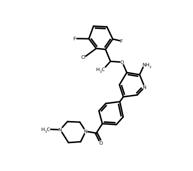 CC(Oc1cc(-c2ccc(C(=O)N3CCN(C)CC3)cc2)cnc1N)c1c(F)ccc(F)c1Cl